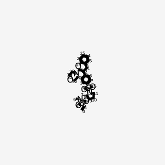 C=CS(=O)(=O)N(C)C[C@H]1CCCN1S(=O)(=O)c1ccc(C(Cc2ccccc2)C(=O)N2CCOCC2)cc1